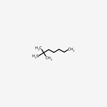 CCCCCC(C)(C)[SiH3]